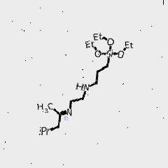 CCO[Si](CCCNCC/N=C(\C)CC(C)C)(OCC)OCC